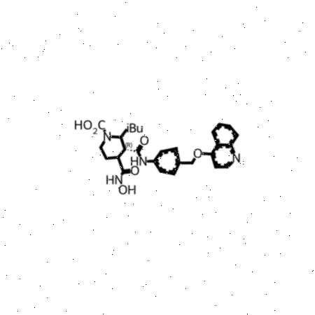 CCC(C)C1[C@H](C(=O)Nc2ccc(COc3ccnc4ccccc34)cc2)C(C(=O)NO)CCN1C(=O)O